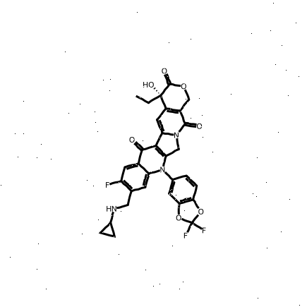 CC[C@@]1(O)C(=O)OCc2c1cc1n(c2=O)Cc2c-1c(=O)c1cc(F)c(CNC3CC3)cc1n2-c1ccc2c(c1)OC(F)(F)O2